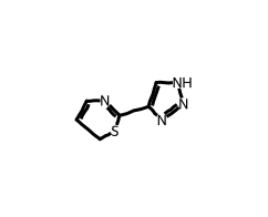 C1=CN=C(c2c[nH]nn2)SC1